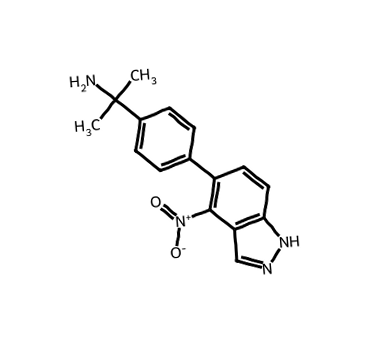 CC(C)(N)c1ccc(-c2ccc3[nH]ncc3c2[N+](=O)[O-])cc1